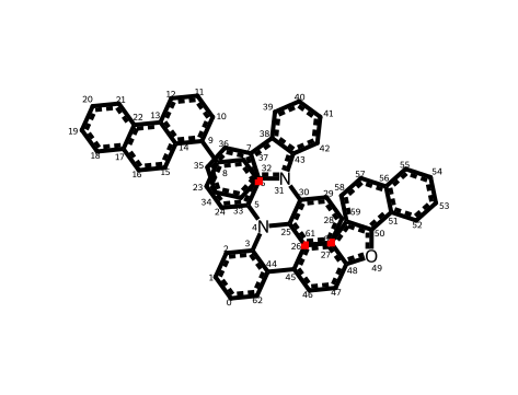 c1ccc(N(c2ccc(-c3cccc4c3ccc3ccccc34)cc2)c2ccccc2-n2c3ccccc3c3ccccc32)c(-c2ccc3oc4c5ccccc5ccc4c3c2)c1